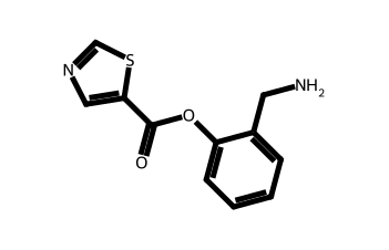 NCc1ccccc1OC(=O)c1cncs1